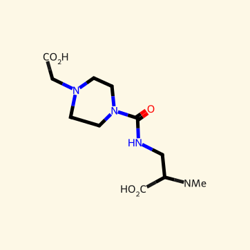 CNC(CNC(=O)N1CCN(CC(=O)O)CC1)C(=O)O